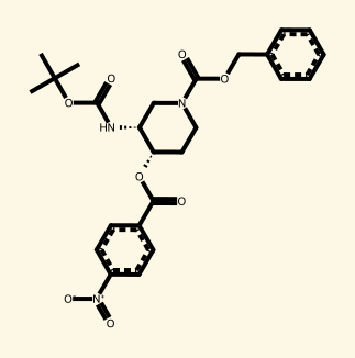 CC(C)(C)OC(=O)N[C@@H]1CN(C(=O)OCc2ccccc2)CC[C@@H]1OC(=O)c1ccc([N+](=O)[O-])cc1